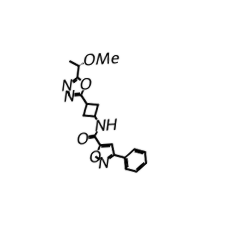 CO[C@@H](C)c1nnc(C2CC(NC(=O)c3cc(-c4ccccc4)no3)C2)o1